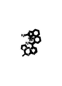 C[C@H](Oc1nccc(/C(N)=C2\CCCC3(CCCc4sc(N)c(C#N)c43)N2N)n1)[C@@H]1CCCN1C